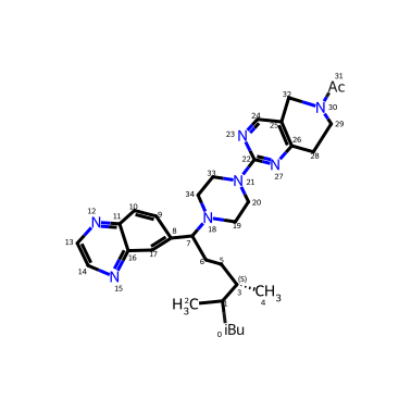 CCC(C)C(C)[C@@H](C)CCC(c1ccc2nccnc2c1)N1CCN(c2ncc3c(n2)CCN(C(C)=O)C3)CC1